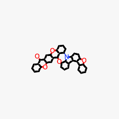 O=c1c2ccccc2oc2cc3c(=O)c4c(-n5c6ccccc6c6c7c(ccc65)oc5ccccc57)cccc4oc3cc12